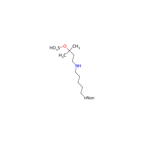 CCCCCCCCCCCCCCNCCC(C)(C)OS(=O)(=O)O